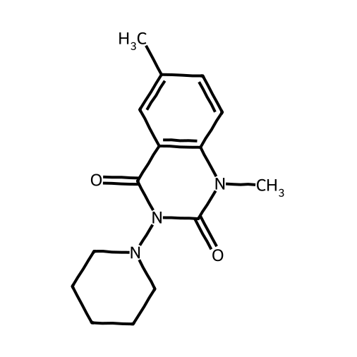 Cc1ccc2c(c1)c(=O)n(N1CCCCC1)c(=O)n2C